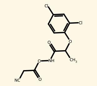 CC(Oc1ccc(Cl)cc1Cl)C(=O)NOC(=O)CC#N